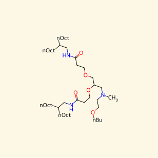 CCCCCCCCC(CCCCCCCC)CNC(=O)CCOCC(CN(C)CCOCCCC)OCCC(=O)NCC(CCCCCCCC)CCCCCCCC